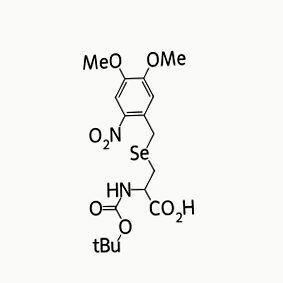 COc1cc(C[Se]CC(NC(=O)OC(C)(C)C)C(=O)O)c([N+](=O)[O-])cc1OC